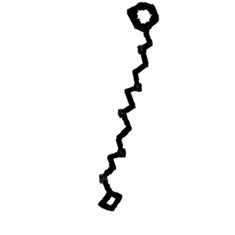 c1ccc(COCCOCCOCCOCCOC2CCC2)cc1